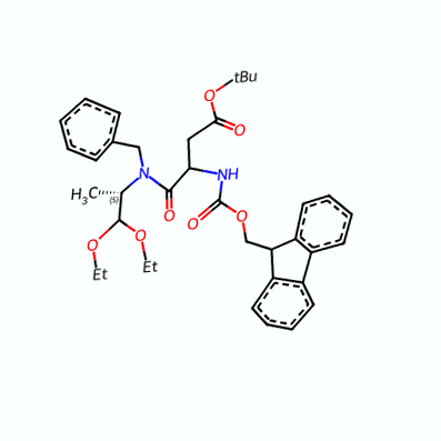 CCOC(OCC)[C@H](C)N(Cc1ccccc1)C(=O)C(CC(=O)OC(C)(C)C)NC(=O)OCC1c2ccccc2-c2ccccc21